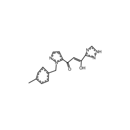 Cc1ccc(Cn2nccc2C(=O)C=C(O)c2nc[nH]n2)cc1